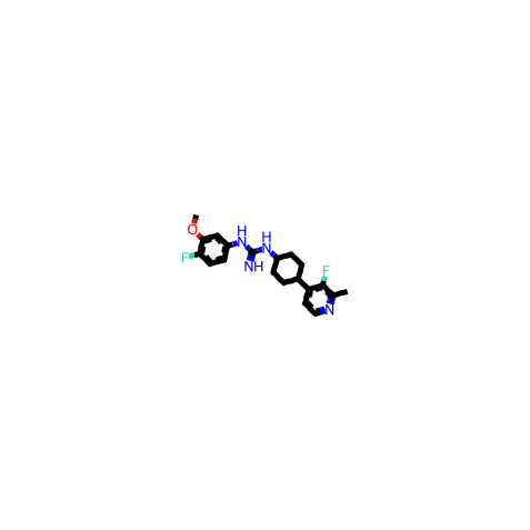 COc1cc(NC(=N)NC2CCC(c3ccnc(C)c3F)CC2)ccc1F